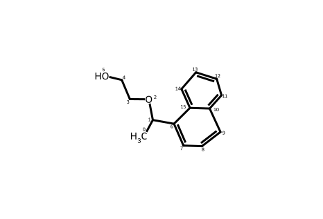 CC(OCCO)c1cccc2ccccc12